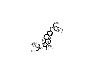 CC[Si](CC)(CC)Oc1ccc2c(c1)CC[C@@H]1[C@@H]2CC[C@]2(C)C(=O)[C@H](O[Si](CC)(CC)CC)C[C@@H]12